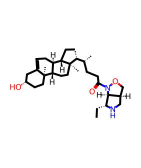 CC[C@H]1NC[C@@H]2CON(C(=O)CC[C@@H](C)[C@H]3CC[C@H]4[C@@H]5CC=C6C[C@@H](O)CC[C@]6(C)[C@H]5CC[C@]34C)[C@@H]21